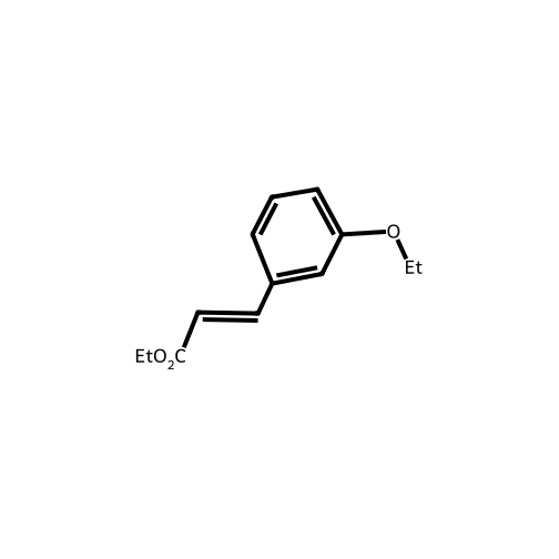 CCOC(=O)C=Cc1cccc(OCC)c1